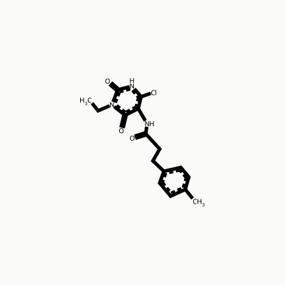 CCn1c(=O)[nH]c(Cl)c(NC(=O)CCc2ccc(C)cc2)c1=O